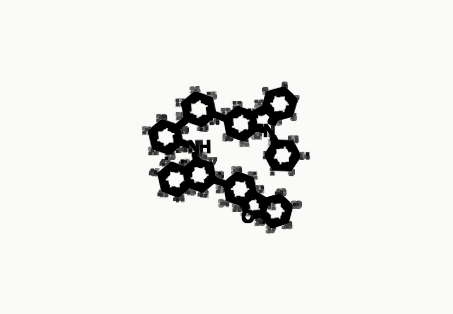 c1ccc(-n2c3ccccc3c3cc(-c4cccc(-c5ccccc5Nc5cc(-c6ccc7c(c6)oc6ccccc67)cc6ccccc56)c4)ccc32)cc1